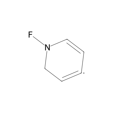 FN1C=C[C]=CC1